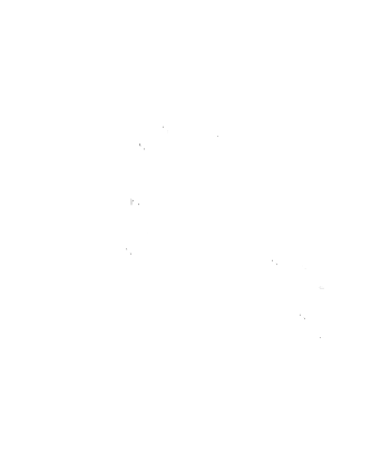 Cc1ccc(-n2nc(C(C)(C)C)cc2NC(=O)Nc2ccccc2CC2CCN(C(=O)[C@@H]3CCC(=O)N3)CC2)cc1